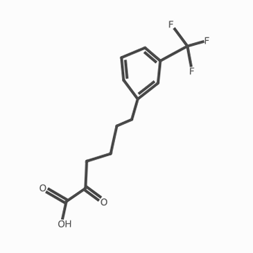 O=C(O)C(=O)CCCCc1cccc(C(F)(F)F)c1